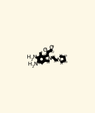 Cc1c(N)c(N)cc2c1C(C(=O)C=O)N(CCN1CCCC1)C2